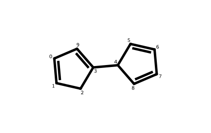 C1=CCC(C2C=CC=C2)=C1